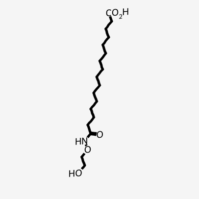 O=C(O)CCCCCCCCCCCCCCC(=O)NOCCO